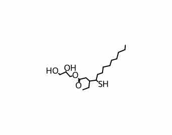 CCCCCCCCCC(S)C(CC)CC(=O)OCC(O)CO